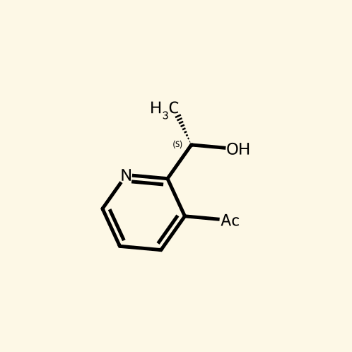 CC(=O)c1cccnc1[C@H](C)O